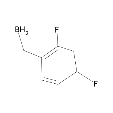 BCC1=C(F)CC(F)C=C1